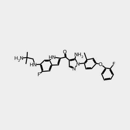 Cc1cc(Oc2ccccc2F)ccc1-n1ncc(C(=O)c2cc3cc(F)c(NCC(C)(C)N)cc3[nH]2)c1N